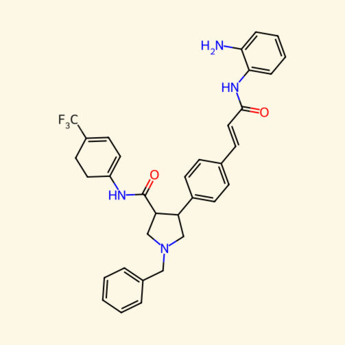 Nc1ccccc1NC(=O)/C=C/c1ccc(C2CN(Cc3ccccc3)CC2C(=O)NC2=CC=C(C(F)(F)F)CC2)cc1